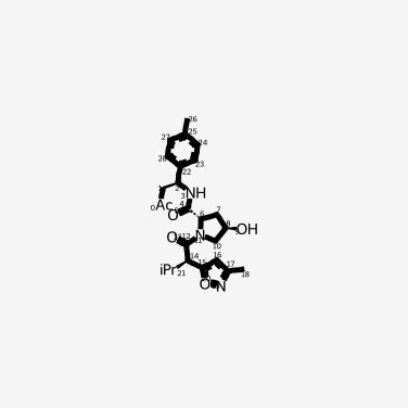 CC(=O)C[C@H](NC(=O)[C@@H]1C[C@@H](O)CN1C(=O)[C@@H](c1cc(C)no1)C(C)C)c1ccc(C)cc1